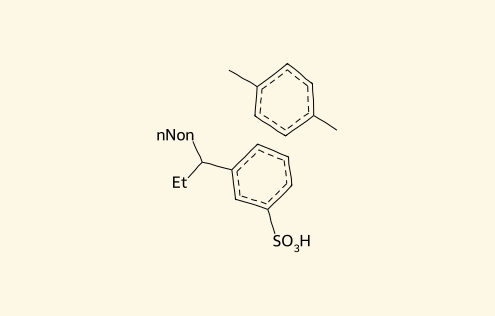 CCCCCCCCCC(CC)c1cccc(S(=O)(=O)O)c1.Cc1ccc(C)cc1